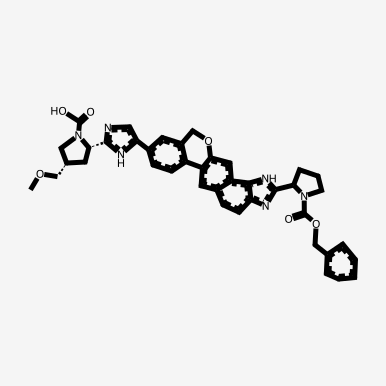 COC[C@H]1C[C@@H](c2ncc(-c3ccc4c(c3)COc3cc5c(ccc6nc(C7CCCN7C(=O)OCc7ccccc7)[nH]c65)cc3-4)[nH]2)N(C(=O)O)C1